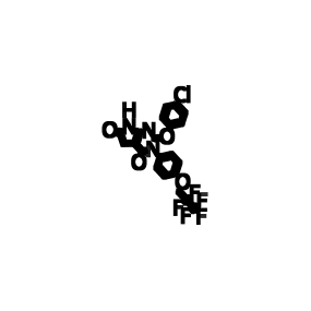 O=C1Cc2c(nc(Oc3ccc(Cl)cc3)n(-c3ccc(OCC(F)(F)C(F)(F)F)cc3)c2=O)N1